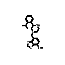 COc1ccc(CN2CCNC(c3ccccc3C(C)C)C2)c2c1OCO2